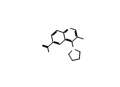 C=C(O)c1ccc2ncc(I)c(N3CCCC3)c2c1